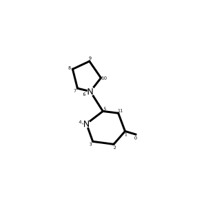 CC1CC[N]C(N2CCCC2)C1